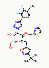 Cc1ccc(-c2cn([C@H]3[C@@H](O)[C@@H](CO)O[C@H](Cc4cc(C(C)(C)C)no4)[C@@H]3OCc3nccs3)nn2)c(F)c1F